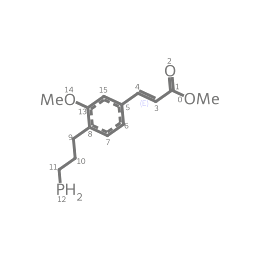 COC(=O)/C=C/c1ccc(CCCP)c(OC)c1